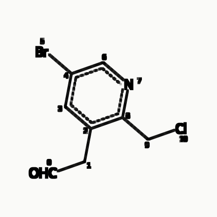 O=CCc1cc(Br)cnc1CCl